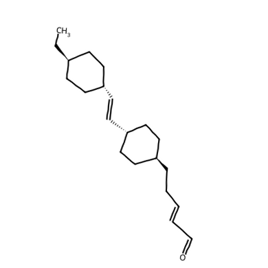 CC[C@H]1CC[C@H](C=C[C@H]2CC[C@H](CCC=CC=O)CC2)CC1